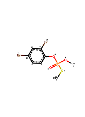 CCCSP(=O)(OCC)Oc1ccc(Br)cc1Br